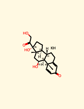 C[C@]12C=CC(=O)C=C1CC[C@@H]1[C@@H]2[C@@H](O)C[C@@]2(C)[C@H]1CC[C@]2(O)C(=O)CO.[KH]